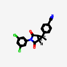 C[C@]1(c2ccc(C#N)cc2)C2C(=O)N(c3cc(Cl)cc(Cl)c3)C(=O)[C@H]21